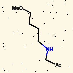 COCCCCNCC(C)=O